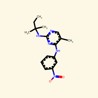 CCC(C)(C)Nc1ncc(C)c(Nc2cccc([N+](=O)[O-])c2)n1